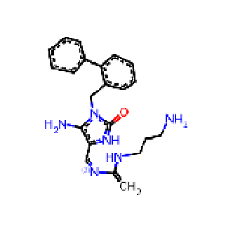 C=C(/N=C\c1[nH]c(=O)n(Cc2ccccc2-c2ccccc2)c1N)NCCCN